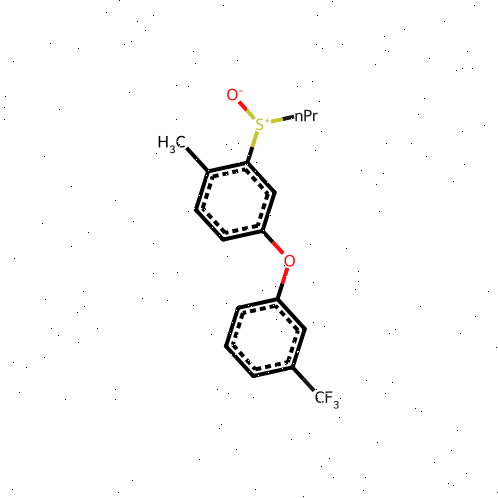 CCC[S+]([O-])c1cc(Oc2cccc(C(F)(F)F)c2)ccc1C